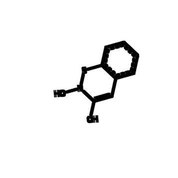 OC1=Cc2ccccc2SN1O